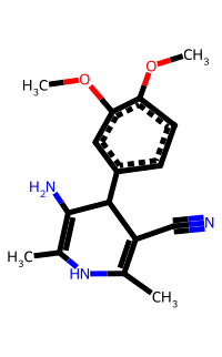 COc1ccc(C2C(N)=C(C)NC(C)=C2C#N)cc1OC